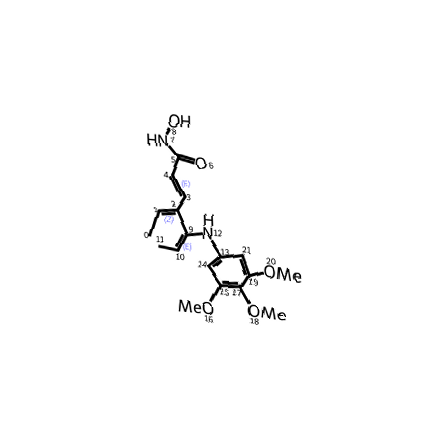 C/C=C(/C=C/C(=O)NO)C(=C/C)\Nc1cc(OC)c(OC)c(OC)c1